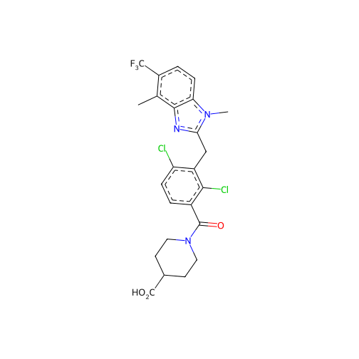 Cc1c(C(F)(F)F)ccc2c1nc(Cc1c(Cl)ccc(C(=O)N3CCC(C(=O)O)CC3)c1Cl)n2C